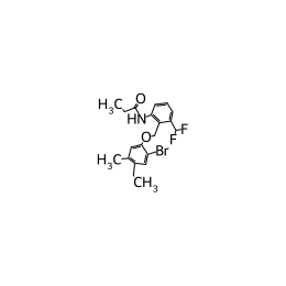 CCC(=O)Nc1cccc(C(F)F)c1COc1cc(C)c(CC)cc1Br